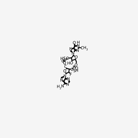 Cc1nc2c(ncn2C2OC3CO[P@](=O)(S)OC4C(CO[P@](=O)(S)OC2C3O)OC(n2cnc3c(N)ncnc32)C4F)c(=O)[nH]1